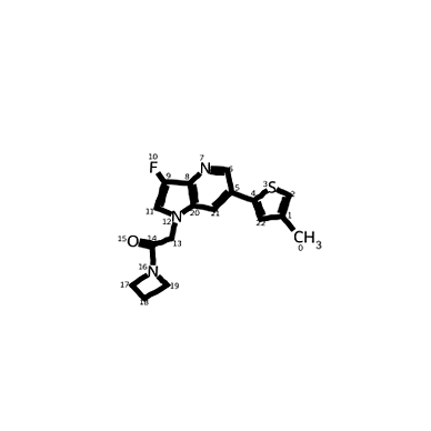 Cc1csc(-c2cnc3c(F)cn(CC(=O)N4CCC4)c3c2)c1